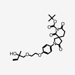 C=CC(C)(O)COCCOc1ccc(N2CC3(CCC(=O)N(C(=O)OC(C)(C)C)C3=O)CC2=O)cc1